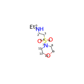 CCNCCS(=O)(=O)N1CCOCC1